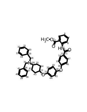 COC(=O)c1ccccc1NC(=O)c1ccc(Oc2ccc(OC3CCC(N(Cc4ccccc4)Cc4ccccc4)CC3)cc2)cc1